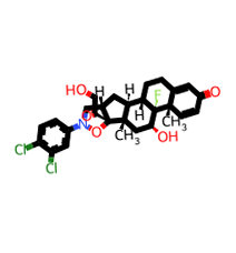 C[C@]12C=CC(=O)C=C1CC[C@H]1[C@@H]3C[C@H]4CN(c5ccc(Cl)c(Cl)c5)O[C@@]4(C(=O)CO)[C@@]3(C)C[C@H](O)[C@@]12F